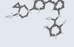 CC(Oc1ccc2[nH]nc(-c3ccc(N4CCN(C(=O)O)C5(CC5)C4)nc3)c2c1)c1c(Cl)cncc1Cl